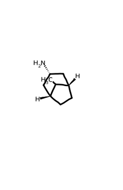 CC1[C@@H]2CC[C@H]1C[C@@H](N)C2